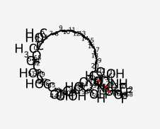 C[C@H]1C[C@H](O)[C@@H](C)/C=C/C=C/C=C/C=C/C=C/C=C/C=C/C(O[C@@H]2OC[C@@H](O)[C@H](N)[C@@H]2O)C[C@@H]2OC(O)(CC(O)CC(O)C(O)CCC(O)CC(O)CC(=O)O1)C[C@H](O)[C@H]2C(=O)NCCCOC(F)(F)F